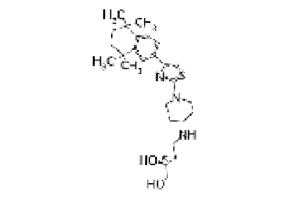 CC1(C)CCC(C)(C)c2cc(-c3csc(N4CCC(NCC[C@H](O)CO)CC4)n3)ccc21